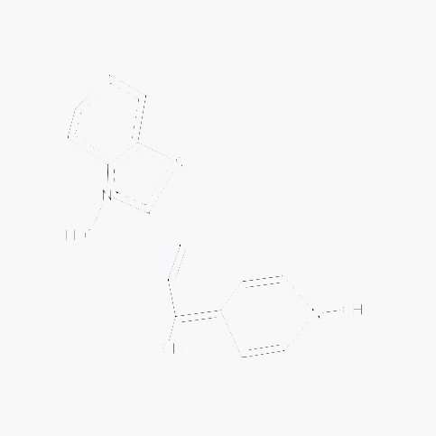 CC(/C=C/c1sc2ccccc2[n+]1C)=C1C=CN(C)C=C1